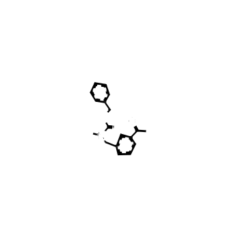 CC(=O)c1cccc(CN(C)C(=O)OCc2ccccc2)c1